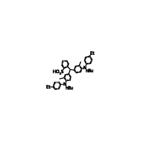 CCCCN(c1ccc(CC)cc1)c1ccc(C(c2ccc(N(CCCC)c3ccc(CC)cc3)c(C)c2)c2ccccc2S(=O)(=O)O)cc1C